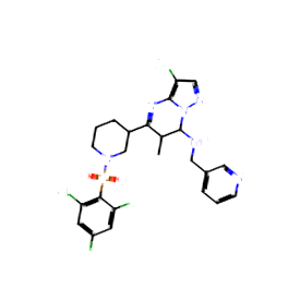 CC1C(C2CCCN(S(=O)(=O)c3c(Cl)cc(Cl)cc3Cl)C2)=Nc2c(Br)cnn2C1NCc1cccnc1